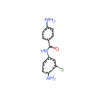 Nc1ccc(C(=O)Nc2ccc(N)c(Cl)c2)cc1